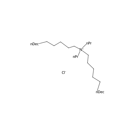 CCCCCCCCCCCCCCC[N+](CCC)(CCC)CCCCCCCCCCCCCCC.[Cl-]